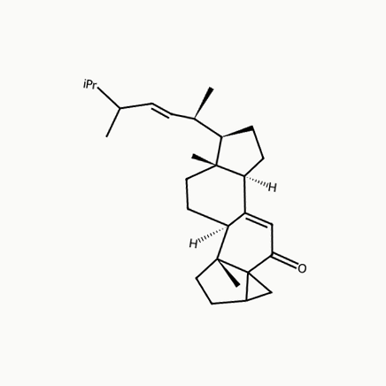 CC(C)C(C)/C=C/[C@@H](C)[C@H]1CC[C@H]2C3=CC(=O)C45CC4CC[C@]5(C)[C@H]3CC[C@]12C